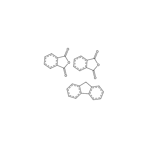 O=C1OC(=O)c2ccccc21.O=C1OC(=O)c2ccccc21.c1ccc2c(c1)Cc1ccccc1-2